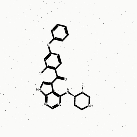 O=C(c1ccc(Oc2ccccc2)cc1Cl)c1c[nH]c2ncnc(N[C@@H]3CCNC[C@H]3F)c12